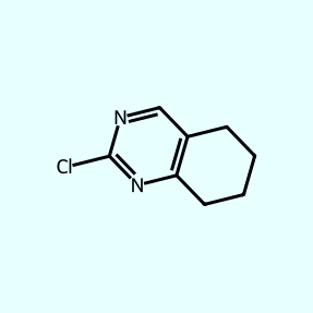 Clc1ncc2c(n1)CCCC2